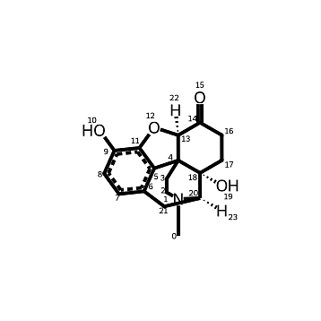 CN1CCC23c4c5ccc(O)c4O[C@H]2C(=O)CC[C@@]3(O)[C@H]1C5